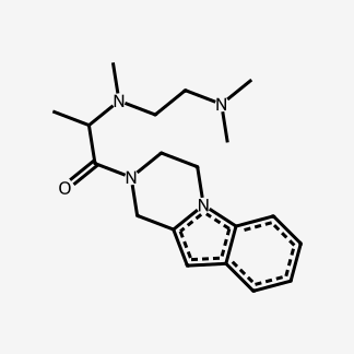 CC(C(=O)N1CCn2c(cc3ccccc32)C1)N(C)CCN(C)C